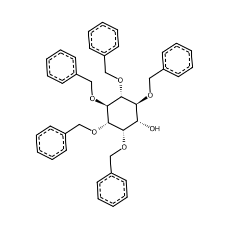 O[C@@H]1[C@H](OCc2ccccc2)[C@H](OCc2ccccc2)[C@@H](OCc2ccccc2)[C@H](OCc2ccccc2)[C@H]1OCc1ccccc1